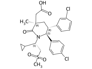 C[C@]1(CC(=O)O)C[C@H](c2cccc(Cl)c2)[C@@H](c2ccc(Cl)cc2)N([C@H](CS(C)(=O)=O)C2CC2)C1=O